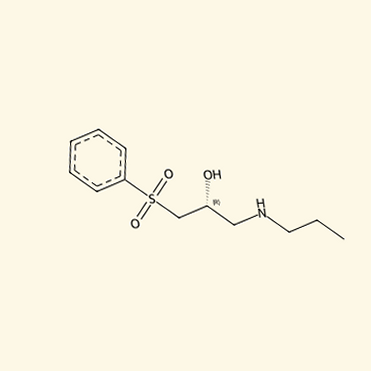 CCCNC[C@@H](O)CS(=O)(=O)c1ccccc1